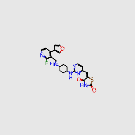 O=C1NC(=O)/C(=C\c2ccnc(NC3CCC(NCc4c(-c5ccoc5)ccnc4F)CC3)n2)S1